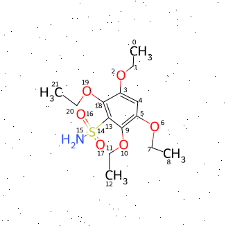 CCOc1cc(OCC)c(OCC)c(S(N)(=O)=O)c1OCC